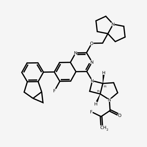 C=C(F)C(=O)N1CC[C@@H]2[C@H]1CN2C1=NC(OCC23CCCN2CCC3)=NC2C=C(c3cccc4c3C3CC3C4)C(F)=CC12